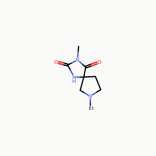 CCN1CCC2(C1)NC(=O)N(C)C2=O